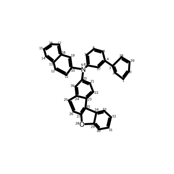 c1ccc(-c2cccc(N(c3ccc4ccccc4c3)c3ccc4c(ccc5oc6ccccc6c54)c3)c2)cc1